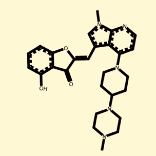 CN1CCN(C2CCN(c3ccnc4c3c(C=C3Oc5cccc(O)c5C3=O)cn4C)CC2)CC1